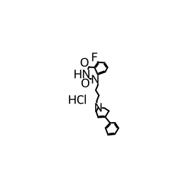 Cl.O=c1[nH]c(=O)n(CCCCN2CC=C(c3ccccc3)CC2)c2cccc(F)c12